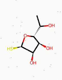 CC(O)[C@H]1O[C@H](S)[C@H](O)[C@@H]1O